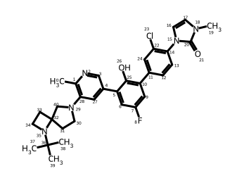 Cc1ncc(-c2cc(F)cc(-c3ccc(-n4ccn(C)c4=O)c(Cl)c3)c2O)cc1N1CCC2(CCN2C(C)(C)C)C1